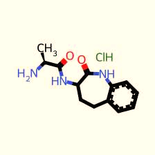 C[C@H](N)C(=O)NC1CCc2ccccc2NC1=O.Cl